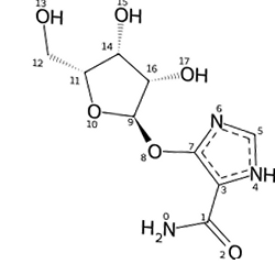 NC(=O)c1[nH]cnc1O[C@H]1O[C@H](CO)[C@H](O)[C@@H]1O